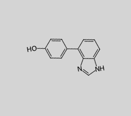 Oc1ccc(-c2cccc3[nH]cnc23)cc1